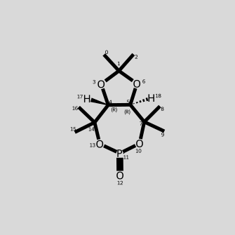 CC1(C)O[C@@H]2[C@@H](O1)C(C)(C)O[P](=O)OC2(C)C